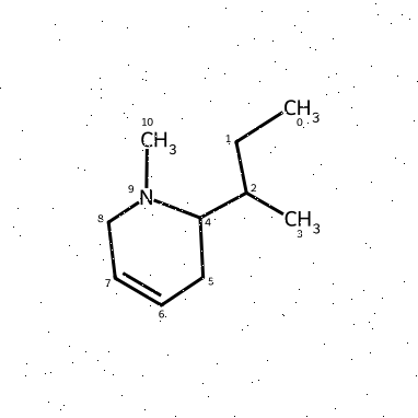 CCC(C)C1CC=CCN1C